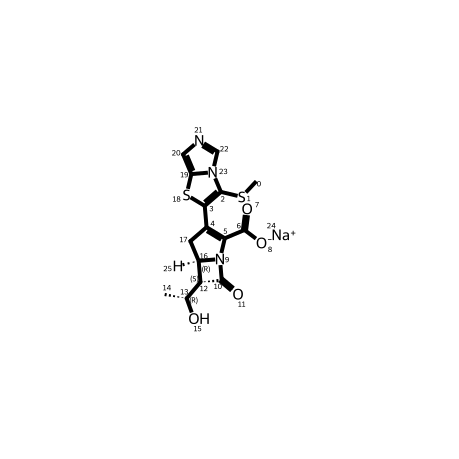 CSc1c(C2=C(C(=O)[O-])N3C(=O)[C@H]([C@@H](C)O)[C@H]3C2)sc2cncn12.[Na+]